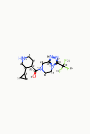 O=C([C@@H]1CCNCC1C1CC1)N1CCn2c(nnc2C(F)(F)F)C1